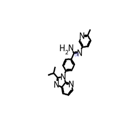 Cc1ccc(/N=C(\N)c2ccc(-n3c(C(C)C)nc4cccnc43)cc2)cn1